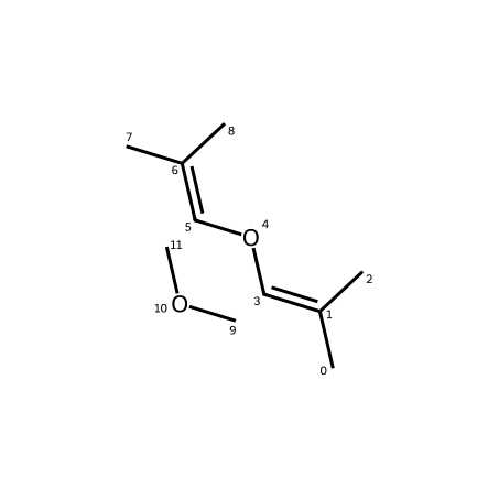 CC(C)=COC=C(C)C.COC